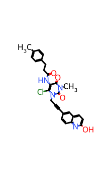 Cc1ccc(CCC(=O)Nc2c(Cl)n(CC#Cc3ccc4nc(O)ccc4c3)c(=O)n(C)c2=O)cc1